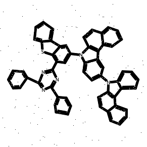 c1ccc(-c2nc(-c3ccccc3)nc(-c3cc(-n4c5ccc(-n6c7ccccc7c7c8ccccc8ccc76)cc5c5c6ccccc6ccc54)cc4c3sc3ccccc34)n2)cc1